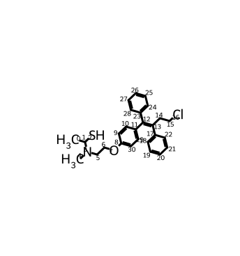 CC(S)N(C)CCOc1ccc(/C(=C(/CCCl)c2ccccc2)c2ccccc2)cc1